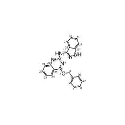 c1ccc(COc2nc(Nc3n[nH]c4ccccc34)nc3ccccc23)cc1